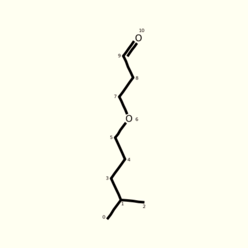 CC(C)CCCOCCC=O